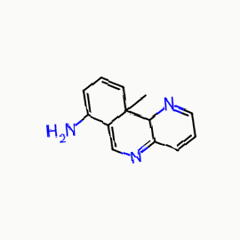 CC12C=CC=C(N)C1=CN=C1C=CC=NC12